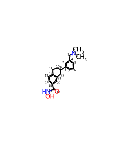 CN(C)Cc1cccc(C2CCc3ccc(C(=O)NO)cc3C2)c1